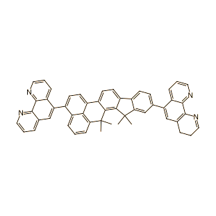 CC1(C)c2cc(-c3cc4c(c5ncccc35)N=CCC4)ccc2-c2ccc3c(c21)C(C)(C)c1cccc2c(-c4cc5cccnc5c5ncccc45)ccc-3c12